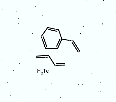 C=CC=C.C=Cc1ccccc1.[TeH2]